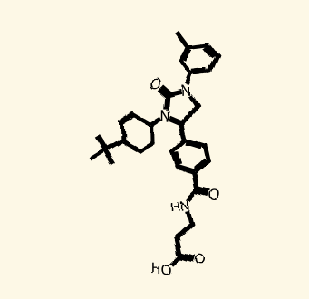 Cc1cccc(N2CC(c3ccc(C(=O)NCCC(=O)O)cc3)N(C3CCC(C(C)(C)C)CC3)C2=O)c1